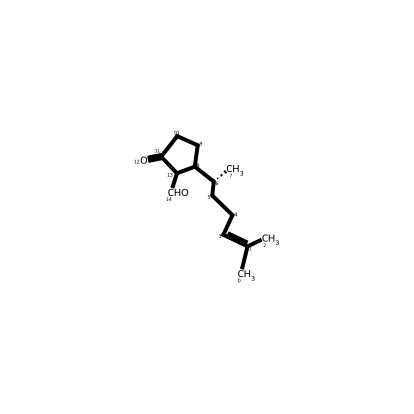 CC(C)=CCC[C@@H](C)C1CCC(=O)C1C=O